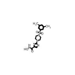 Cc1cc(C)cc(S(=O)(=O)N2CCN(c3ncc(C(=O)NO)s3)CC2)c1